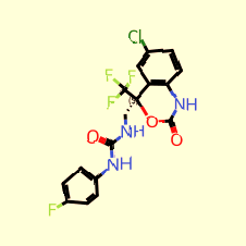 O=C(NC[C@@]1(C(F)(F)F)OC(=O)Nc2ccc(Cl)cc21)Nc1ccc(F)cc1